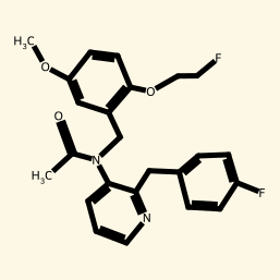 COc1ccc(OCCF)c(CN(C(C)=O)c2cccnc2Cc2ccc(F)cc2)c1